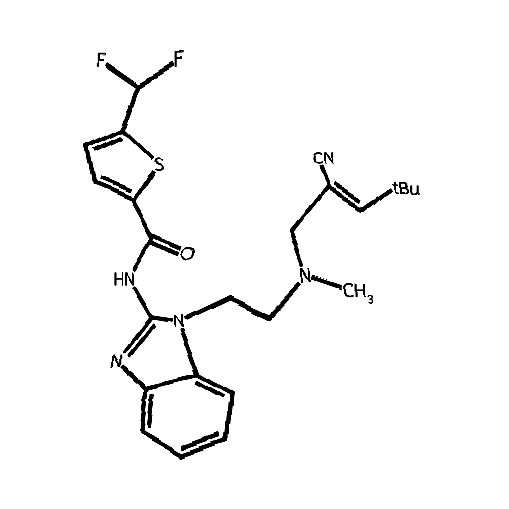 CN(CCn1c(NC(=O)c2ccc(C(F)F)s2)nc2ccccc21)CC(C#N)=CC(C)(C)C